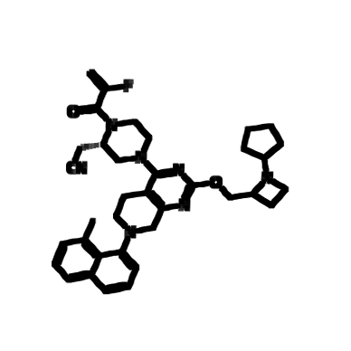 C=C(F)C(=O)N1CCN(c2nc(OCC3CCN3C3CCCC3)nc3c2CCN(c2cccc4cccc(C)c24)C3)C[C@@H]1CC#N